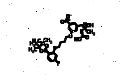 CC1(C)OB(c2ccc(F)cc2SCCCCOc2cc(C[SH](C)(O)=NC(=O)O)cc([N+](=O)[O-])c2)OC1(C)C